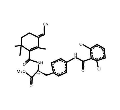 COC(=O)[C@H](Cc1ccc(NC(=O)c2c(Cl)cccc2Cl)cc1)NC(=O)C1=C(C)C(=CC#N)CCC1(C)C